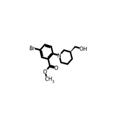 COC(=O)c1cc(Br)ccc1N1CCC[C@H](CO)C1